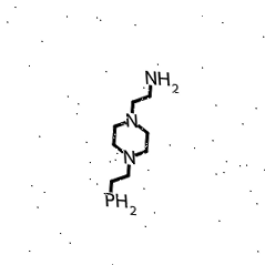 NCCN1CCN(CCP)CC1